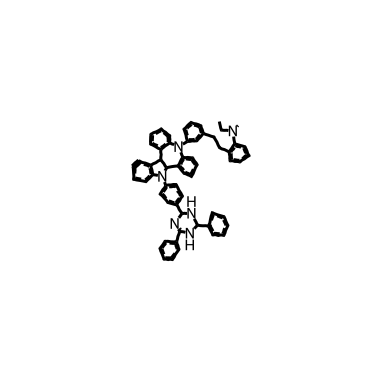 CCN(C)c1ccccc1CCc1cccc(N2c3ccccc3C3c4c#cccc4N(c4ccc(C5N=C(c6ccccc6)NC(c6ccccc6)N5)cc4)C3c3ccccc32)c1